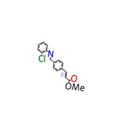 COC(=O)/C=C/c1ccc(C=Nc2ccccc2Cl)cc1